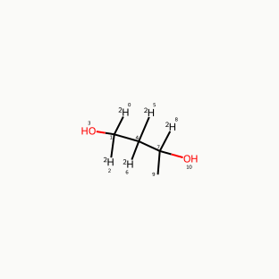 [2H]C([2H])(O)C([2H])([2H])C([2H])(C)O